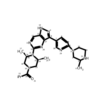 CC1CN(c2ccc(-c3n[nH]c4cnc(N5[C@H](C)CN(C(=O)C(C)C)C[C@@H]5C)nc34)cn2)CCN1